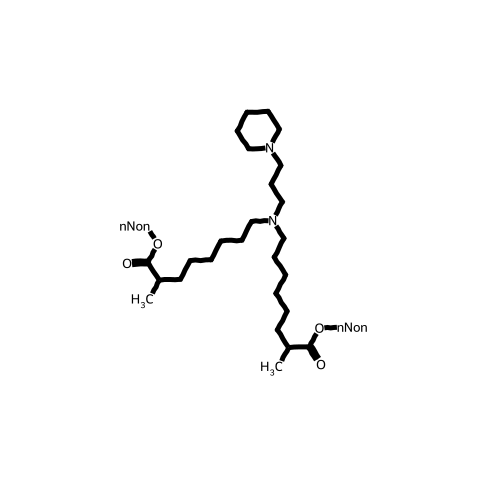 CCCCCCCCCOC(=O)C(C)CCCCCCN(CCCCCCC(C)C(=O)OCCCCCCCCC)CCCN1CCCCC1